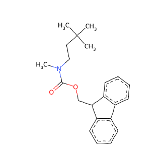 CN(CCC(C)(C)C)C(=O)OCC1c2ccccc2-c2ccccc21